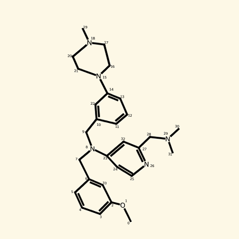 COc1cccc(CN(Cc2cccc(N3CCN(C)CC3)c2)c2ccnc(CN(C)C)c2)c1